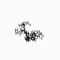 CNCCCC(C(C)C)N1CC2(CCN(c3ncnnc3Oc3ccc(F)cc3C(=O)N(C(C)C)C(C)C)C2)C1